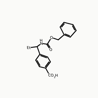 CCC(NC(=O)OCc1ccccc1)c1ccc(C(=O)O)cc1